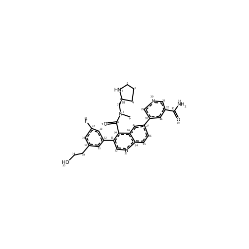 CN(C[C@@H]1CCCN1)C(=O)c1c(-c2cc(F)cc(CCO)c2)cnc2ccc(-c3cncc(C(N)=O)c3)cc12